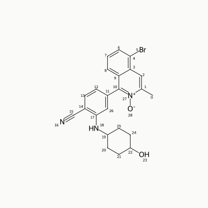 Cc1cc2c(Br)cccc2c(-c2ccc(C#N)c(NC3CCC(O)CC3)c2)[n+]1[O-]